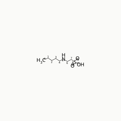 CCCCCNCCS(=O)(=O)O